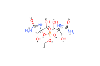 CCOP(=O)(OC(CO)(CO)NC(N)=O)OC(CO)(CO)NC(N)=O